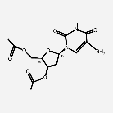 Bc1cn([C@H]2CC(OC(C)=O)[C@@H](COC(C)=O)O2)c(=O)[nH]c1=O